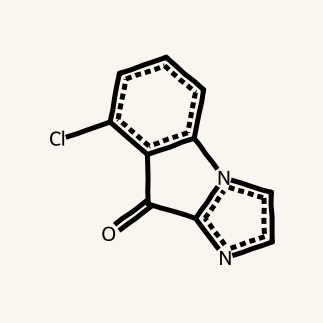 O=C1c2c(Cl)cccc2-n2ccnc21